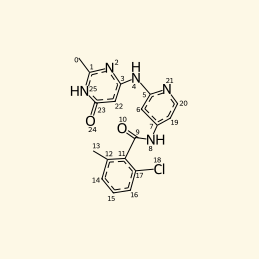 Cc1nc(Nc2cc(NC(=O)c3c(C)cccc3Cl)ccn2)cc(=O)[nH]1